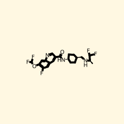 C[C@@H](NC[C@H]1CC[C@H](NC(=O)c2cnc3cc(OC(F)F)c(F)cc3c2)CC1)C(F)F